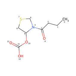 CCCC(=O)N1CSCC1OC(=O)O